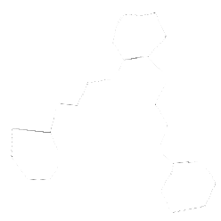 C1CCC(OCCOC2CCCCC2OCCOC2CCCCO2)OC1